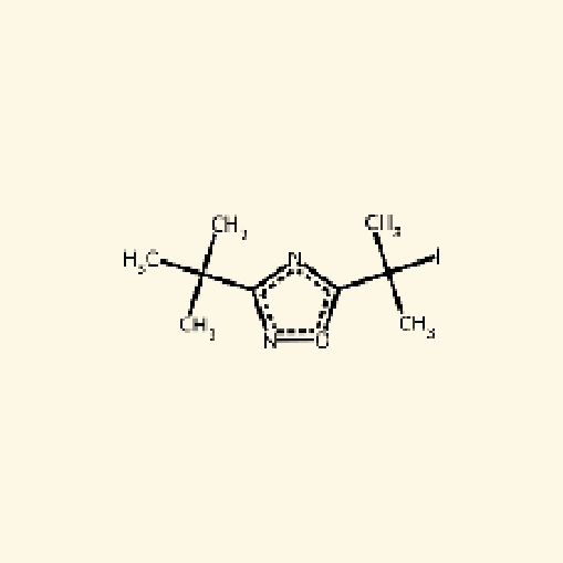 CC(C)(C)c1noc(C(C)(C)I)n1